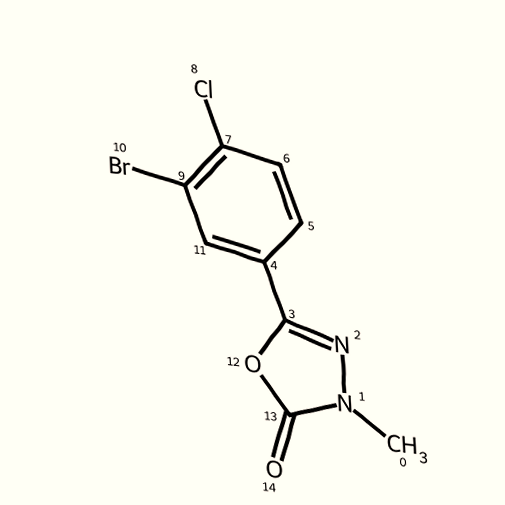 Cn1nc(-c2ccc(Cl)c(Br)c2)oc1=O